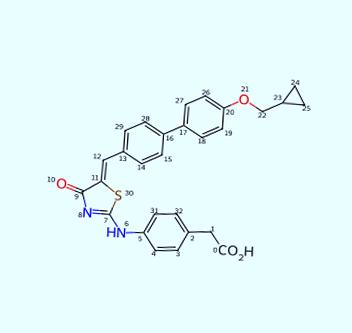 O=C(O)Cc1ccc(NC2=NC(=O)C(=Cc3ccc(-c4ccc(OCC5CC5)cc4)cc3)S2)cc1